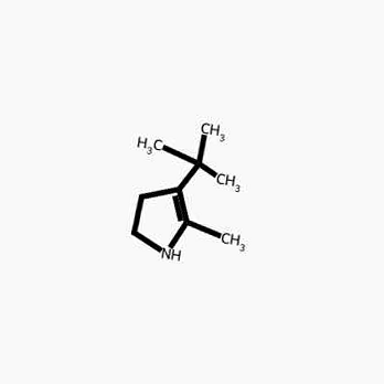 CC1=C(C(C)(C)C)CCN1